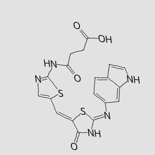 O=C(O)CCC(=O)Nc1ncc(C=C2SC(=Nc3ccc4cc[nH]c4c3)NC2=O)s1